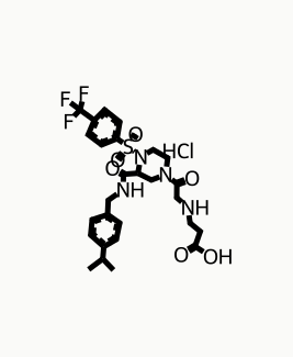 CC(C)c1ccc(CNC(=O)C2CN(C(=O)CNCCC(=O)O)CCN2S(=O)(=O)c2ccc(C(F)(F)F)cc2)cc1.Cl